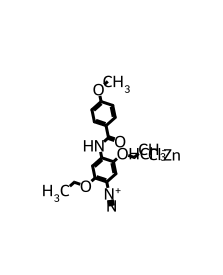 CCOc1cc(NC(=O)c2ccc(OC)cc2)c(OCC)cc1[N+]#N.Cl.[Cl-].[Zn]